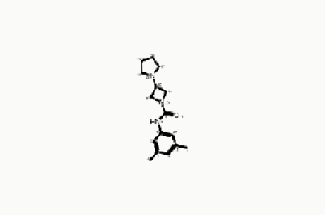 Cc1cc(C)cc(NC(=O)N2CC(N3CCCC3)C2)c1